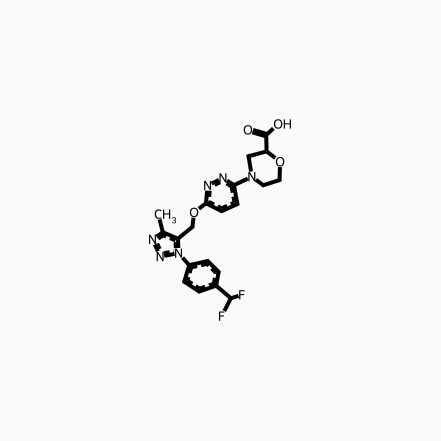 Cc1nnn(-c2ccc(C(F)F)cc2)c1COc1ccc(N2CCOC(C(=O)O)C2)nn1